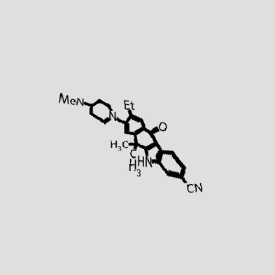 CCc1cc2c(cc1N1CCC(NC)CC1)C(C)(C)c1[nH]c3cc(C#N)ccc3c1C2=O